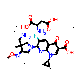 CON=C1CN(c2nc3c(cc2F)c(=O)c(C(=O)O)cn3C2CC2)CC1(C)CN.N[C@@H](CC(=O)O)C(=O)O